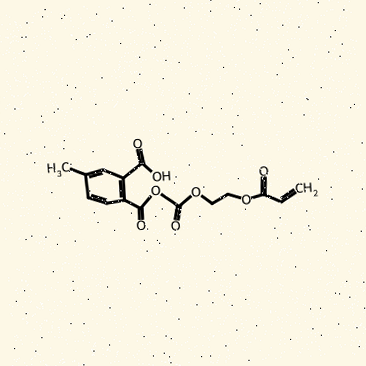 C=CC(=O)OCCOC(=O)OC(=O)c1ccc(C)cc1C(=O)O